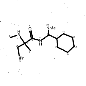 CBC(C)(CC(C)C)C(=O)NC(NC)C1CCCCC1